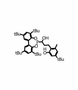 Cc1cc(C(C)(C)C)cc(O)c1CCC(O)p1oc2c(C(C)(C)C)cc(C(C)(C)C)cc2c2cc(C(C)(C)C)cc(C(C)(C)C)c2o1